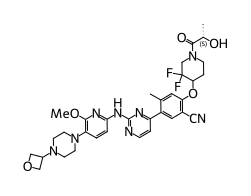 COc1nc(Nc2nccc(-c3cc(C#N)c(OC4CCN(C(=O)[C@H](C)O)CC4(F)F)cc3C)n2)ccc1N1CCN(C2COC2)CC1